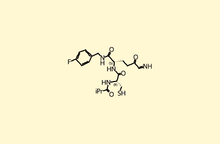 CC(C)C(=O)N[C@@H](CS)C(=O)N[C@@H](CCC(=O)C=N)C(=O)NCc1ccc(F)cc1